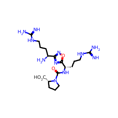 N=C(N)NCCC[C@H](NC(=O)N1CCC[C@@H]1C(=O)O)c1nc([C@@H](N)CCCNC(=N)N)no1